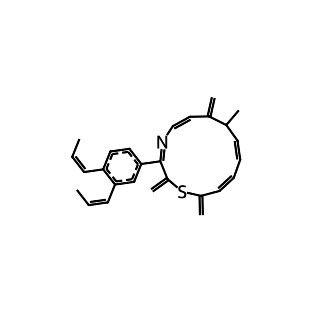 C=C1/C=C\C=C/C(C)C(=C)/C=C\N=C(\c2ccc(/C=C\C)c(/C=C\C)c2)C(=C)S1